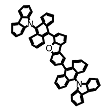 C1=CC2c3cc(-c4c5ccccc5c(-n5c6ccccc6c6ccccc65)c5ccccc45)ccc3OC2C(c2c3ccccc3c(-n3c4ccccc4c4ccccc43)c3ccccc23)=C1